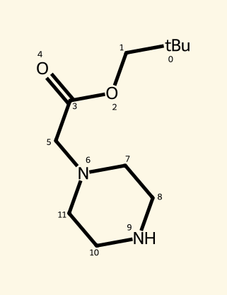 CC(C)(C)COC(=O)CN1CCNCC1